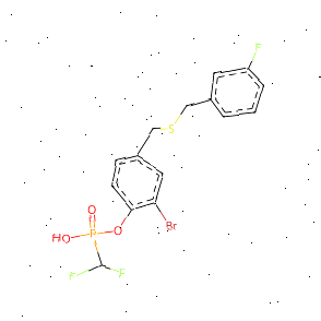 O=P(O)(Oc1ccc(CSCc2cccc(F)c2)cc1Br)C(F)F